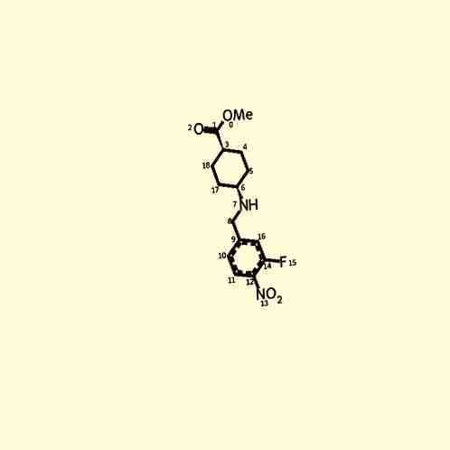 COC(=O)[C@H]1CC[C@@H](NCc2ccc([N+](=O)[O-])c(F)c2)CC1